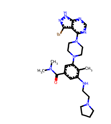 Cc1c(NCCN2CCCC2)cc(C(=O)N(C)C)cc1N1CCN(c2ncnc3[nH]nc(Br)c23)CC1